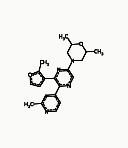 Cc1cc(-c2ncc(N3CC(C)OC(C)C3)nc2-c2ccoc2C)ccn1